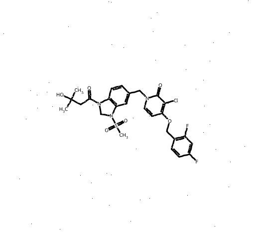 CC(C)(O)CC(=O)N1CN(S(C)(=O)=O)c2cc(Cn3ccc(OCc4ccc(F)cc4F)c(Cl)c3=O)ccc21